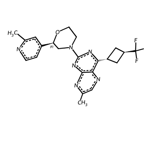 Cc1cc([C@@H]2CN(c3nc4nc(C)cnc4c([C@H]4C[C@H](C(F)(F)F)C4)n3)CCO2)ccn1